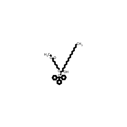 CCCCCCCCCCCCCCCCC(O)[C@@H](COC(c1ccccc1)(c1ccccc1)c1ccccc1)OCCCCCCC(=O)OCC